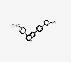 CC(C)N1CC[C@H](c2ccc(-c3cc4c(N5CCN(C=O)CC5)ccnn4c3)cc2)C1